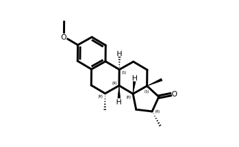 COc1ccc2c(c1)C[C@@H](C)[C@@H]1[C@@H]2CC[C@]2(C)C(=O)[C@H](C)C[C@H]12